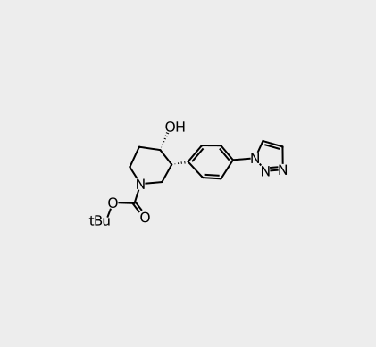 CC(C)(C)OC(=O)N1CC[C@H](O)[C@H](c2ccc(-n3ccnn3)cc2)C1